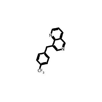 FC(F)(F)c1ccc(Cc2cncc3cccnc23)cc1